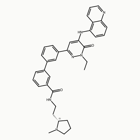 CCn1nc(-c2cccc(-c3cccc(C(=O)NCC[C@@H]4CCCN4C)c3)c2)cc(Nc2cccc3ncccc23)c1=O